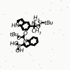 CC(C)(C)OC(=O)n1c(B(O)O)cc2ccccc21.CC(C)(C)[SiH2]OC(C)(C)c1ccc2[nH]ccc2c1